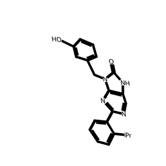 CC(C)c1ccccc1-c1ncc2[nH]c(=O)n(Cc3cccc(O)c3)c2n1